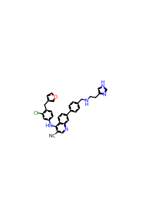 N#Cc1cnc2cc(-c3ccc(CNCCc4c[nH]cn4)cc3)ccc2c1Nc1ccc(Cc2ccoc2)c(Cl)c1